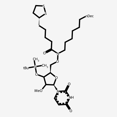 CCCCCCCCCCCCCCCCN(OC[C@H]1O[C@@H](n2ccc(=O)[nH]c2=O)C(OC)C1O[Si](C)(C)C(C)(C)C)C(=O)CCCC[C@@H]1CCSS1